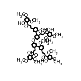 COc1cc(O)c(C(=O)/C=C/c2ccc(OC)c(-c3cc(Oc4ccc(/C=C/C(=O)c5c(O)cc(OC)cc5OC)c(-c5cc(/C=C/C(=O)c6c(O)cc(OC)cc6OC)ccc5OC)c4)ccc3/C=C/C(=O)c3c(O)cc(OC)cc3OC)c2)c(OC)c1